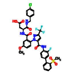 COc1ccc(-n2nc(C(F)(F)F)cc2C(=O)Nc2ccc(-c3ccccc3S(C)(=O)=O)cc2F)c(C(=O)N[C@@H](CC(=O)O)C(=O)NCc2ccc(Cl)cc2)c1